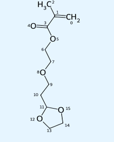 C=C(C)C(=O)OCCOCCC1OCCO1